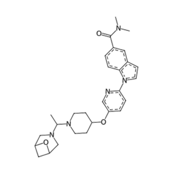 CC(N1CCC(Oc2ccc(-n3ccc4cc(C(=O)N(C)C)ccc43)nc2)CC1)N1CC2CC(C1)O2